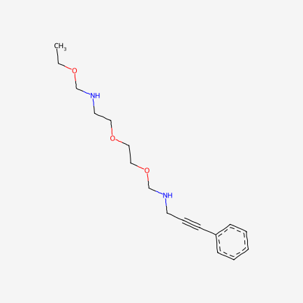 CCOCNCCOCCOCNCC#Cc1ccccc1